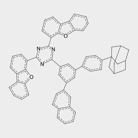 c1ccc2cc(-c3cc(-c4ccc(C56CC7CC(CC(C7)C5)C6)cc4)cc(-c4nc(-c5cccc6c5oc5ccccc56)nc(-c5cccc6c5oc5ccccc56)n4)c3)ccc2c1